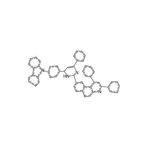 C1=C(c2ccccc2)N=C(c2ccc3ccc4nc(-c5ccccc5)cc(-c5ccccc5)c4c3c2)NC1c1ccc(-n2c3ccccc3c3ccccc32)cc1